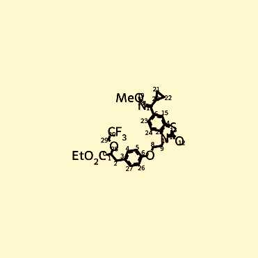 CCOC(=O)C(Cc1ccc(OCCn2c(=O)sc3cc(C(=NOC)C4CC4)ccc32)cc1)OCC(F)(F)F